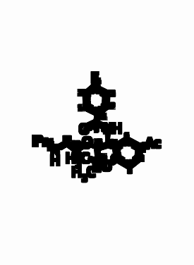 CC(=O)c1ccc2c(c1)[C@H](NC(=O)c1ccc(F)cc1)[C@@H](OC(=O)CNC(C)C)C(C)(C)O2